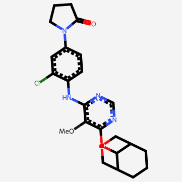 COc1c(Nc2ccc(N3CCCC3=O)cc2Cl)ncnc1OC1C2CCCC1COC2